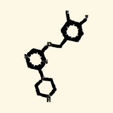 Fc1ccc(COc2cncc(N3CCNCC3)n2)cc1F